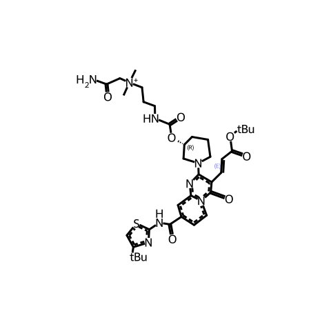 CC(C)(C)OC(=O)/C=C/c1c(N2CCC[C@@H](OC(=O)NCCC[N+](C)(C)CC(N)=O)C2)nc2cc(C(=O)Nc3nc(C(C)(C)C)cs3)ccn2c1=O